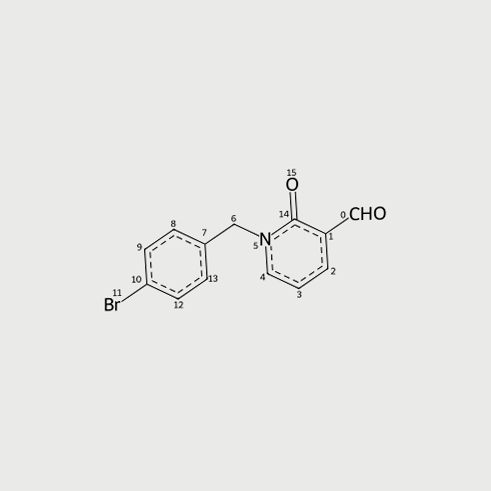 O=Cc1cccn(Cc2ccc(Br)cc2)c1=O